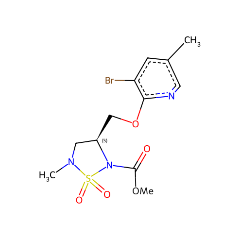 COC(=O)N1[C@H](COc2ncc(C)cc2Br)CN(C)S1(=O)=O